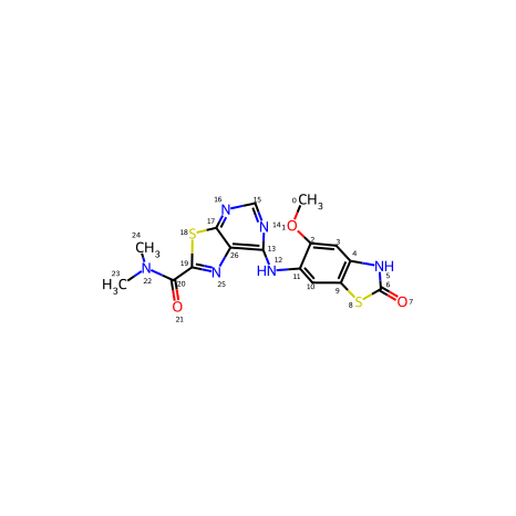 COc1cc2[nH]c(=O)sc2cc1Nc1ncnc2sc(C(=O)N(C)C)nc12